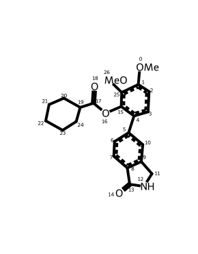 COc1ccc(-c2ccc3c(c2)CNC3=O)c(OC(=O)C2CCCCC2)c1OC